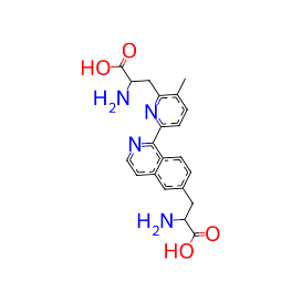 Cc1ccc(-c2nccc3cc(CC(N)C(=O)O)ccc23)nc1CC(N)C(=O)O